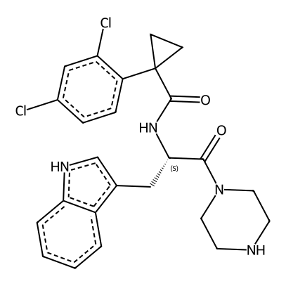 O=C([C@H](Cc1c[nH]c2ccccc12)NC(=O)C1(c2ccc(Cl)cc2Cl)CC1)N1CCNCC1